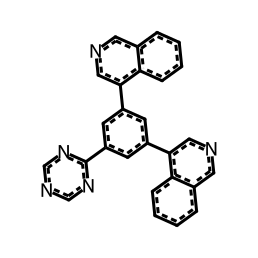 c1ccc2c(-c3cc(-c4ncncn4)cc(-c4cncc5ccccc45)c3)cncc2c1